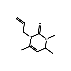 C=CCN1C(=O)N(C)C(C)C=C1C